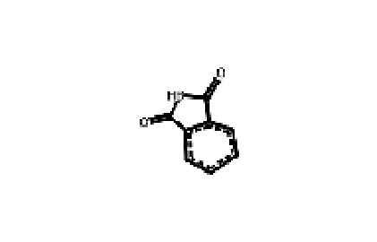 O=C1BC(=O)c2ccccc21